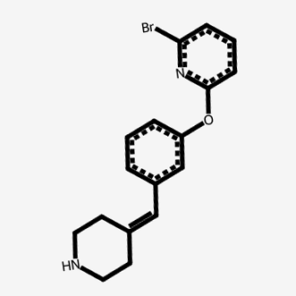 Brc1cccc(Oc2cccc(C=C3CCNCC3)c2)n1